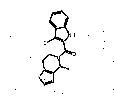 CC1c2ccsc2CCN1C(=O)c1[nH]c2ccccc2c1Cl